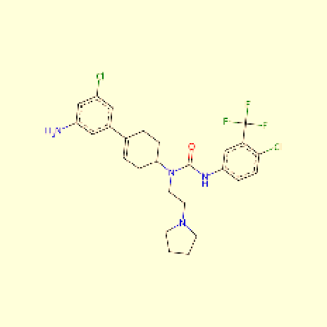 Nc1cc(Cl)cc(C2=CCC(N(CCN3CCCC3)C(=O)Nc3ccc(Cl)c(C(F)(F)F)c3)CC2)c1